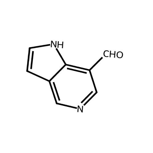 O=Cc1cncc2cc[nH]c12